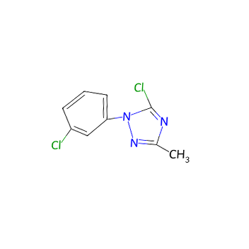 Cc1nc(Cl)n(-c2cccc(Cl)c2)n1